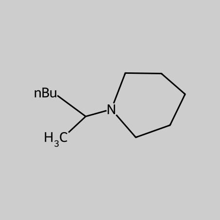 CCCCC(C)N1CCCCC1